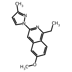 CCc1nc(-n2ccc(C)n2)cc2cc(OC)ccc12